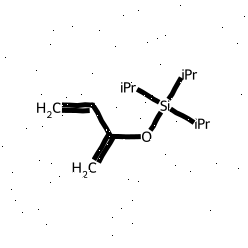 C=CC(=C)O[Si](C(C)C)(C(C)C)C(C)C